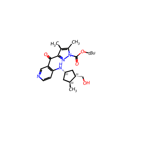 Cc1c(C(=O)c2cnccc2N[C@@H]2C[C@H](CO)[C@@H](C)C2)nn(C(=O)OC(C)(C)C)c1C